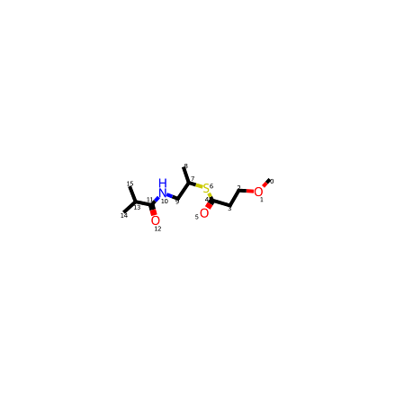 COCCC(=O)SC(C)CNC(=O)C(C)C